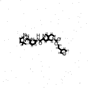 CC1(C)CCc2nnc(-c3cccc(NC(=O)c4cc5c(cn4)CCN(C(=O)OCCC4CCOC4)C5)n3)n21